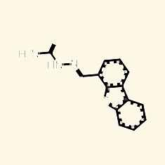 NC(=S)N/N=C/c1cccc2c1oc1ccccc12